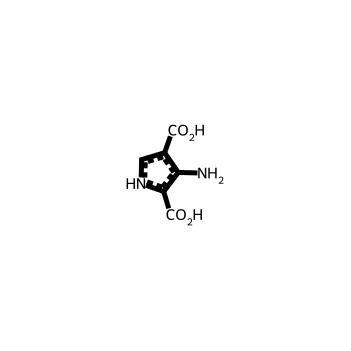 Nc1c(C(=O)O)c[nH]c1C(=O)O